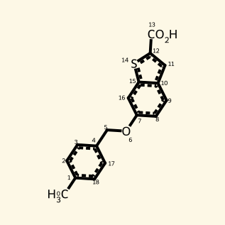 Cc1ccc(COc2ccc3cc(C(=O)O)sc3c2)cc1